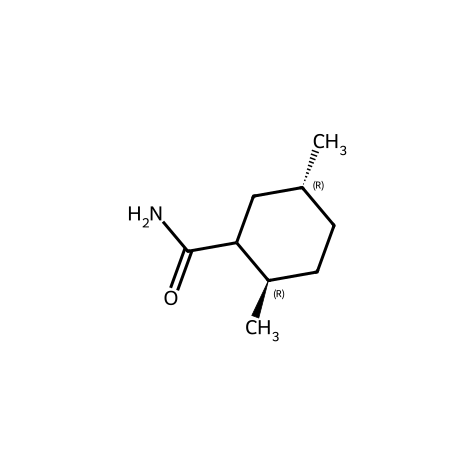 C[C@@H]1CC[C@@H](C)C(C(N)=O)C1